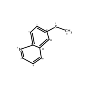 CSc1ccc2ncc[c]c2c1